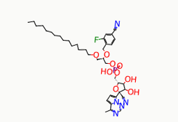 CCCCCCCCCCCCCCCOC[C@H](COP(=O)(O)OC[C@H]1O[C@@](C#N)(c2ccc3c(C)ncnn23)[C@H](O)[C@@H]1O)OCc1ccc(C#N)cc1F